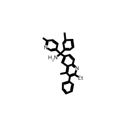 CCc1nc2ccc(C(N)(c3ccc(C)nc3)c3cccc(C)c3)cc2c(C)c1-c1ccccc1